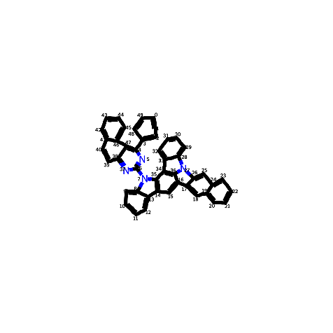 c1ccc(-c2nc(-n3c4ccccc4c4cc5c6cc7ccccc7cc6n6c7ccccc7c(c43)c56)nc3ccc4ccccc4c23)cc1